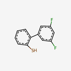 Fc1cc(F)cc(-c2ccccc2S)c1